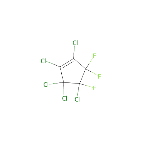 FC1(F)C(Cl)=C(Cl)C(Cl)(Cl)C1(F)Cl